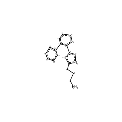 NCCCc1ncc(-c2ccccc2-c2ccccc2)s1